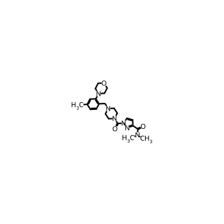 Cc1ccc(CN2CCN(C(=O)n3ccc(C(=O)N(C)C)n3)CC2)c(N2CCOCC2)c1